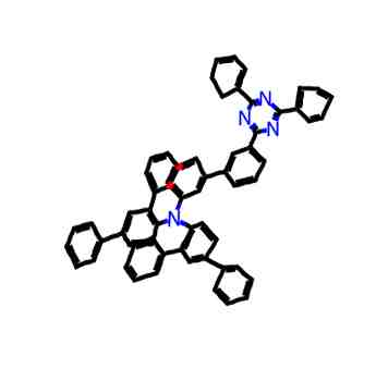 C1=CCCC(c2nc(-c3ccccc3)nc(-c3cccc(-c4cccc(N(c5ccc(-c6ccccc6)cc5-c5ccccc5)c5ccc(-c6ccccc6)cc5-c5ccccc5)c4)c3)n2)=C1